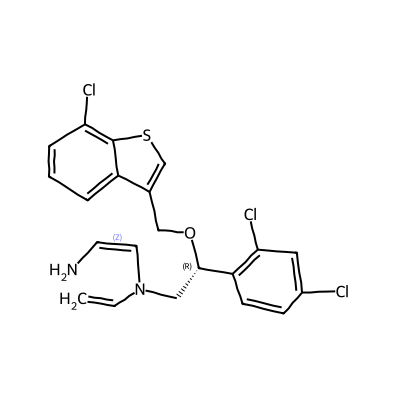 C=CN(/C=C\N)C[C@H](OCc1csc2c(Cl)cccc12)c1ccc(Cl)cc1Cl